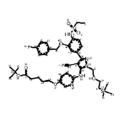 CCS(=O)(=O)Nc1ccc(-c2nn(COCC[Si](C)(C)C)c(Nc3ccc(OCCCCC(=O)OC(C)(C)C)cn3)c2C#N)cc1OCc1ccc(F)cc1